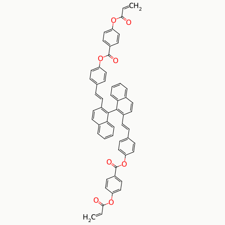 C=CC(=O)Oc1ccc(C(=O)Oc2ccc(/C=C/c3ccc4ccccc4c3-c3c(/C=C/c4ccc(OC(=O)c5ccc(OC(=O)C=C)cc5)cc4)ccc4ccccc34)cc2)cc1